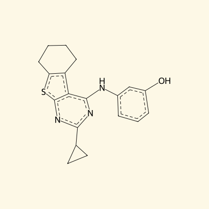 Oc1cccc(Nc2nc(C3CC3)nc3sc4c(c23)CCCC4)c1